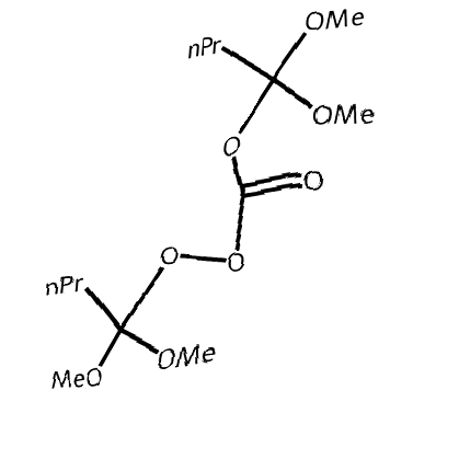 CCCC(OC)(OC)OOC(=O)OC(CCC)(OC)OC